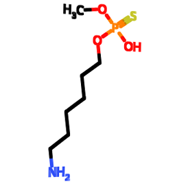 COP(O)(=S)OCCCCCCN